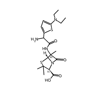 CCN(CC)c1ccc(C(N)C(=O)NC2(C)C(=O)N3[C@@H](C(=O)O)C(C)(C)S[C@@H]32)s1